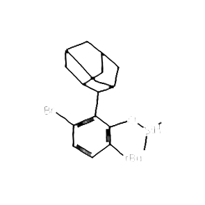 C[SiH](C)Oc1c(C(C)(C)C)ccc(Br)c1C1C2CC3CC(C2)CC1C3